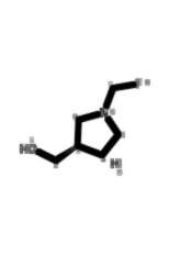 I.OC[C@@H]1CCN(CF)C1